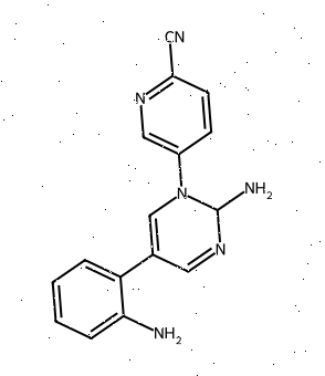 N#Cc1ccc(N2C=C(c3ccccc3N)C=NC2N)cn1